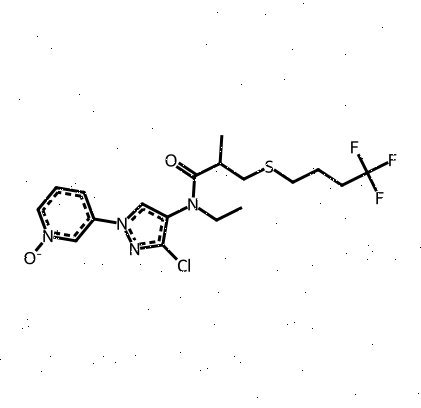 CCN(C(=O)C(C)CSCCCC(F)(F)F)c1cn(-c2ccc[n+]([O-])c2)nc1Cl